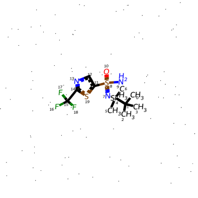 CC(C)(C)[Si](C)(C)N=S(N)(=O)c1cnc(C(F)(F)F)s1